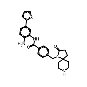 Nc1ccc(-c2cccs2)cc1NC(=O)c1ccc(CN2C(=O)CCC23CCNCC3)cc1